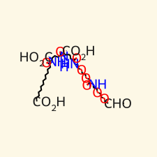 O=[C]COCCOCCNC(=O)COCCOCCNC(=O)CC[C@H](NC(=O)CC[C@H](NC(=O)CCCCCCCCCCCCC(=O)O)C(=O)O)C(=O)O